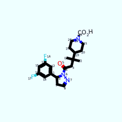 CC(C)(CC(=O)N1N=CCC1c1cc(F)cc(F)c1)C1CCN(C(=O)O)CC1